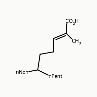 CCCCCCCCCC(CCC=C(C)C(=O)O)CCCCC